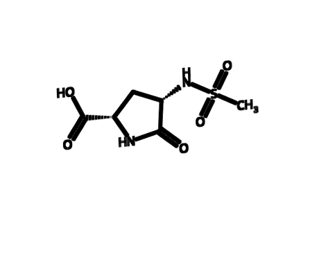 CS(=O)(=O)N[C@H]1C[C@@H](C(=O)O)NC1=O